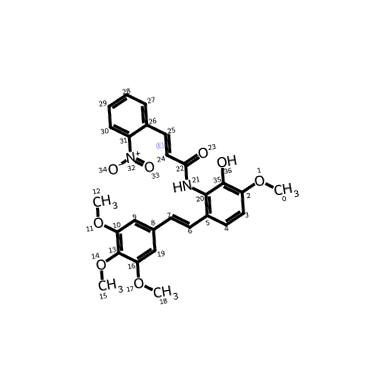 COc1ccc(C=Cc2cc(OC)c(OC)c(OC)c2)c(NC(=O)/C=C/c2ccccc2[N+](=O)[O-])c1O